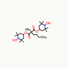 CCCCC(CCCOC(C)=O)(C(=O)OC1CC(C)(C)N(O)C(C)(C)C1)C(=O)OC1CC(C)(C)N(O)C(C)(C)C1